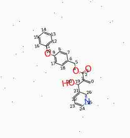 C=C(C(=O)OCc1ccc(Oc2ccccc2)cc1)C(O)c1cccnc1